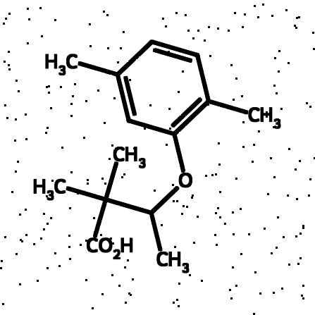 Cc1ccc(C)c(OC(C)C(C)(C)C(=O)O)c1